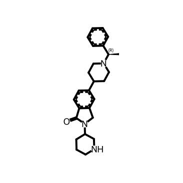 C[C@H](c1ccccc1)N1CCC(c2ccc3c(c2)CN(C2CCCNC2)C3=O)CC1